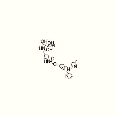 CC1C=NC(CN(Cc2ccccn2)Cc2ccc(COCC(=O)Nc3ccc(CC(O)NC(CO)(CO)CO)cc3)cn2)=CC1